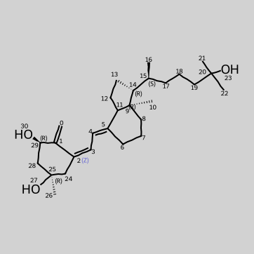 C=C1/C(=C\C=C2CCC[C@@]3(C)C2CC[C@@H]3[C@@H](C)CCCC(C)(C)O)C[C@@](C)(O)C[C@H]1O